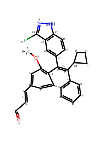 COc1cc(/C=C/[C]=O)ccc1/C(=C(\c1ccccc1)C1CCC1)c1ccc2[nH]nc(F)c2c1